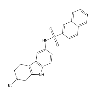 CCN1CCc2c([nH]c3ccc(NS(=O)(=O)c4ccc5ccccc5c4)cc23)C1